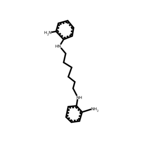 Nc1ccccc1NCCCCCCNc1ccccc1N